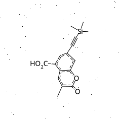 Cc1cc2c(C(=O)O)cc(C#C[Si](C)(C)C)cc2oc1=O